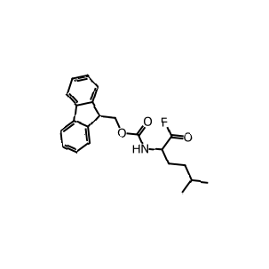 CC(C)CCC(NC(=O)OCC1c2ccccc2-c2ccccc21)C(=O)F